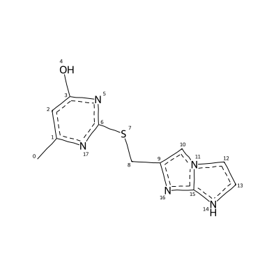 Cc1cc(O)nc(SCc2cn3cc[nH]c3n2)n1